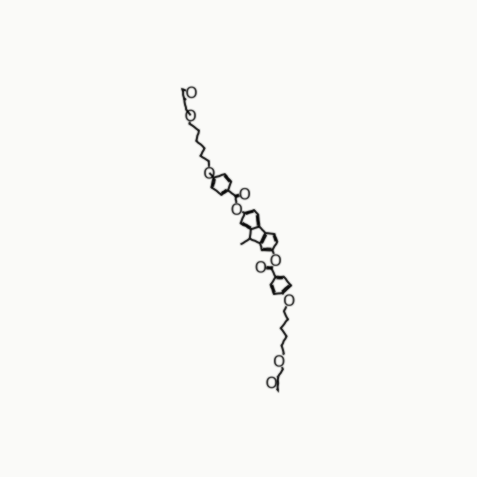 CC1c2cc(OC(=O)c3ccc(OCCCCCCOCC4CO4)cc3)ccc2-c2ccc(OC(=O)c3ccc(OCCCCCCOCC4CO4)cc3)cc21